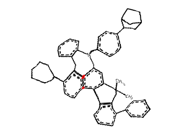 CC1(C)c2cc(N(c3ccc(C4CC5CCC4C5)cc3)c3ccccc3-c3ccccc3C3CCCCC3)ccc2-c2cccc(-c3ccccc3)c21